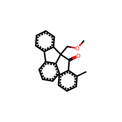 COCC1(C(=O)c2ccccc2C)c2ccccc2-c2ccccc21